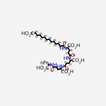 CCCC(NC(=O)CC[C@H](NC(=O)CCC(NC(=O)CCC(NC(=O)CCCCCCCCCCCCC(=O)O)C(=O)O)C(=O)O)C(=O)O)C(=O)O